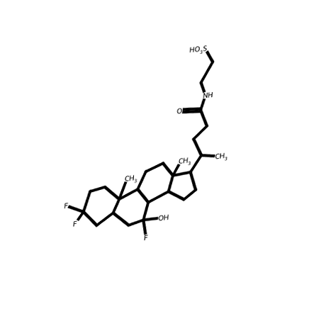 CC(CCC(=O)NCCS(=O)(=O)O)C1CCC2C3C(CCC12C)C1(C)CCC(F)(F)CC1CC3(O)F